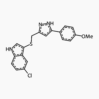 COc1ccc(-c2cc(CSc3c[nH]c4ccc(Cl)cc34)n[nH]2)cc1